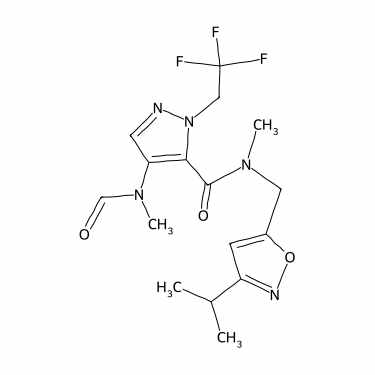 CC(C)c1cc(CN(C)C(=O)c2c(N(C)C=O)cnn2CC(F)(F)F)on1